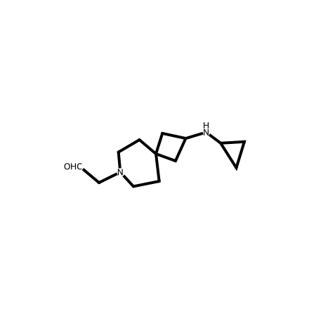 O=CCN1CCC2(CC1)CC(NC1CC1)C2